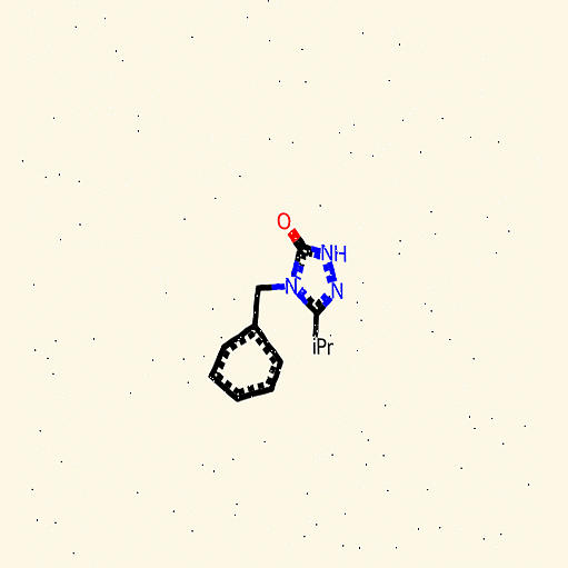 CC(C)c1n[nH]c(=O)n1Cc1ccccc1